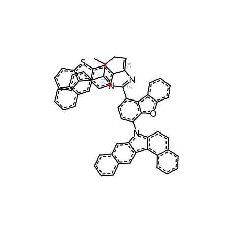 CC1C/C=C(c2ccc3c(c2)sc2ccccc23)/N=C(c2ccc(-n3c4cc5ccccc5cc4c4c5ccccc5ccc43)c3oc4ccccc4c23)\N=C/1c1ccc2ccccc2c1